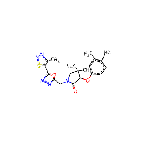 [C-]#[N+]c1ccc(OC2C(=O)N(Cc3nnc(-c4snnc4C)o3)CC2(C)C)cc1C(F)(F)F